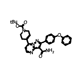 CC(C)(C)OC(=O)N1CC=C(c2ccnc3c(C(N)=O)c(-c4ccc(Oc5ccccc5)cc4)nn23)CC1